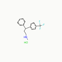 CNCCC(c1ccccc1)c1ccc(C(F)(F)F)cc1.Cl